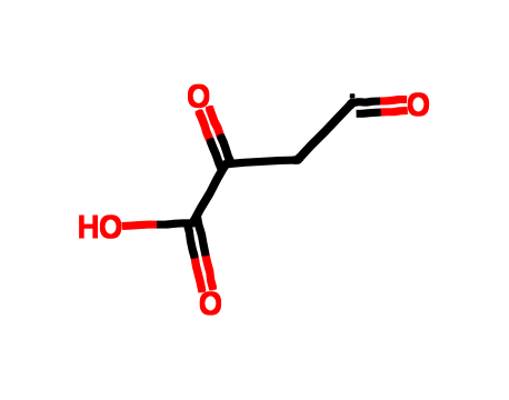 O=[C]CC(=O)C(=O)O